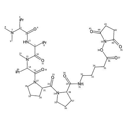 CC(C)C(NC(=O)C(C(C)C)N(C)C)C(=O)N(C)C(C(=O)N1CCCC1C(=O)N1CCCC1C(=O)NCCCCC(=O)ON1C(=O)CCC1=O)C(C)C